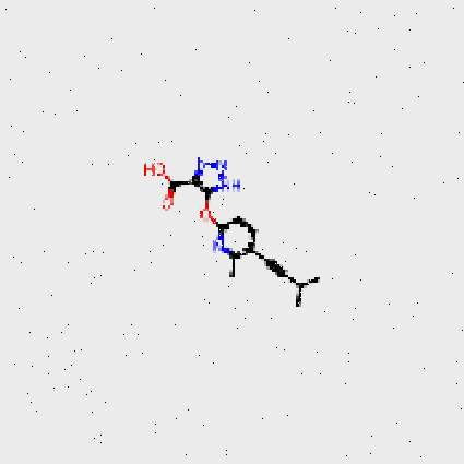 Cc1nc(Oc2[nH]nnc2C(=O)O)ccc1C#CC(C)C